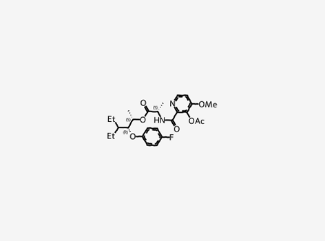 CCC(CC)[C@@H](Oc1ccc(F)cc1)[C@H](C)OC(=O)[C@H](C)NC(=O)c1nccc(OC)c1OC(C)=O